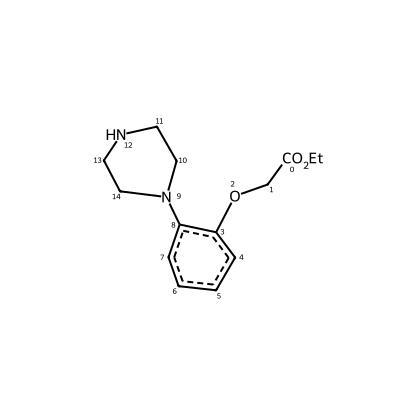 CCOC(=O)COc1ccccc1N1CCNCC1